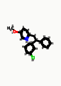 COc1ccc(CC(c2ccccc2)c2cccc(Cl)c2)nc1